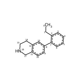 CCc1ccccc1-c1ccc2c(c1)CCNC2